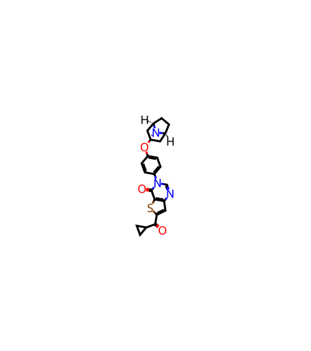 CN1[C@@H]2CC[C@H]1CC(Oc1ccc(-n3cnc4cc(C(=O)C5CC5)sc4c3=O)cc1)C2